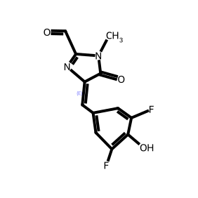 CN1C(=O)/C(=C\c2cc(F)c(O)c(F)c2)N=C1C=O